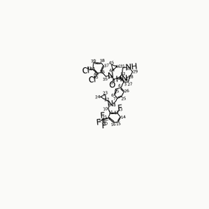 O=C(C1=C(c2ccc(CN(Cc3c(F)cccc3C(F)(F)F)C3CC3)cc2)CC2CNCC1N2)N(Cc1cccc(Cl)c1Cl)C1CC1